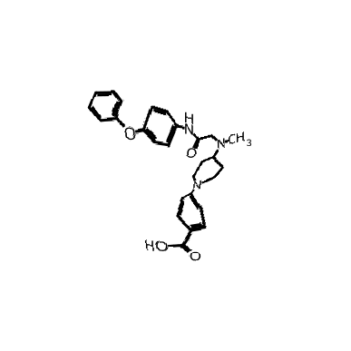 CN(CC(=O)Nc1ccc(Oc2ccccc2)cc1)C1CCN(c2ccc(C(=O)O)cc2)CC1